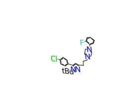 CC(C)(C)n1nc(CCCN2CCN(c3ccccc3F)CC2)cc1-c1ccc(Cl)cc1